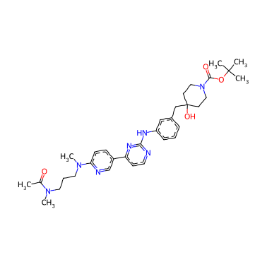 CC(=O)N(C)CCCN(C)c1ccc(-c2ccnc(Nc3cccc(CC4(O)CCN(C(=O)OC(C)(C)C)CC4)c3)n2)cn1